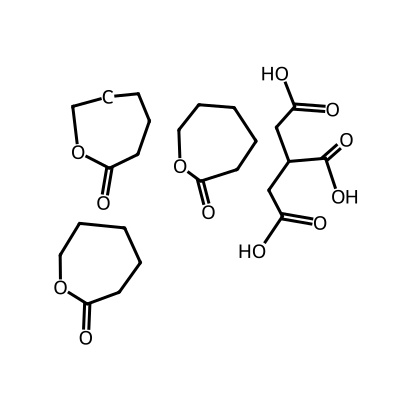 O=C(O)CC(CC(=O)O)C(=O)O.O=C1CCCCCO1.O=C1CCCCCO1.O=C1CCCCCO1